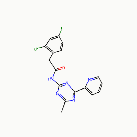 Cc1nc(NC(=O)Cc2ccc(F)cc2Cl)nc(-c2ccccn2)n1